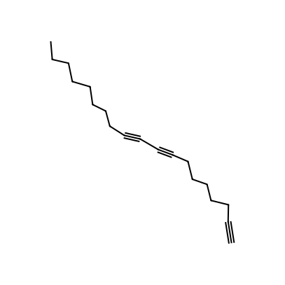 C#CCCCCCC#CC#CCCCCCCCC